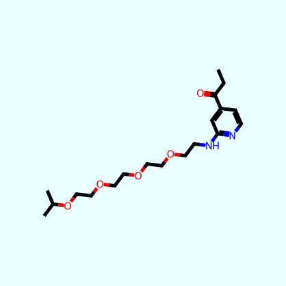 CCC(=O)c1ccnc(NCCOCCOCCOCCOC(C)C)c1